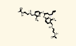 C=C/C=C\CC(Oc1ccc(CNCCNC(C)=O)c(OC)n1)Oc1ccc(CNCCNC(C)=O)c(OC)n1